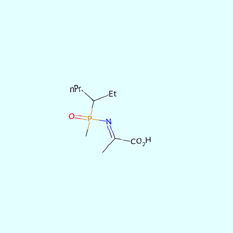 CCCC(CC)P(C)(=O)/N=C(\C)C(=O)O